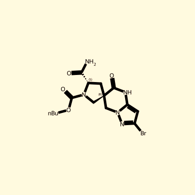 CCCCOC(=O)N1C[C@]2(C[C@H]1C(N)=O)Cn1nc(Br)cc1NC2=O